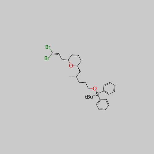 C[C@@H](CCCO[Si](c1ccccc1)(c1ccccc1)C(C)(C)C)C[C@@H]1CC=C[C@@H](CC=C(Br)Br)O1